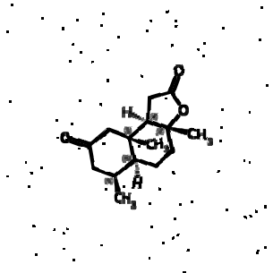 C[C@H]1CC(=O)C[C@]2(C)[C@H]3CC(=O)O[C@]3(C)CC[C@@H]12